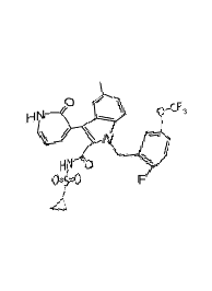 Cc1ccc2c(c1)c(-c1ccc[nH]c1=O)c(C(=O)NS(=O)(=O)C1CC1)n2Cc1cc(OC(F)(F)F)ccc1F